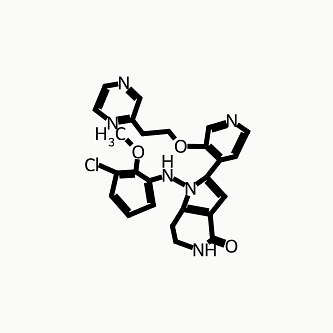 COc1c(Cl)cccc1Nn1c(-c2ccncc2OCCc2cnccn2)cc2c1CCNC2=O